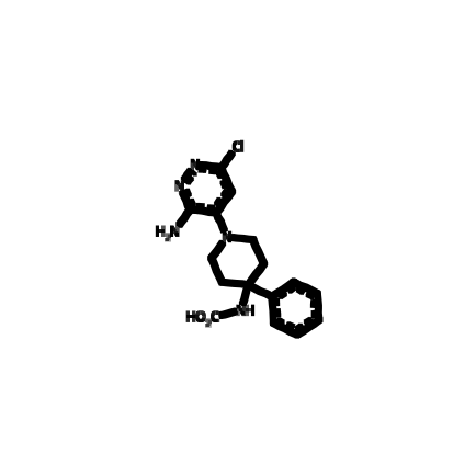 Nc1nnc(Cl)cc1N1CCC(NC(=O)O)(c2ccccc2)CC1